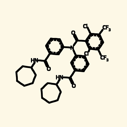 O=C(NC1CCCCCC1)c1cccc(N(C(=O)c2c(Cl)c(C(F)(F)F)cc(C(F)(F)F)c2Cl)c2cccc(C(=O)NC3CCCCCC3)c2)c1